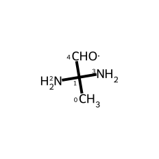 CC(N)(N)[C]=O